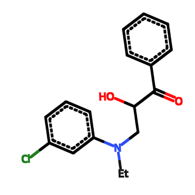 CCN(CC(O)C(=O)c1ccccc1)c1cccc(Cl)c1